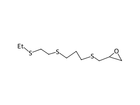 CCSCCSCCCSCC1CO1